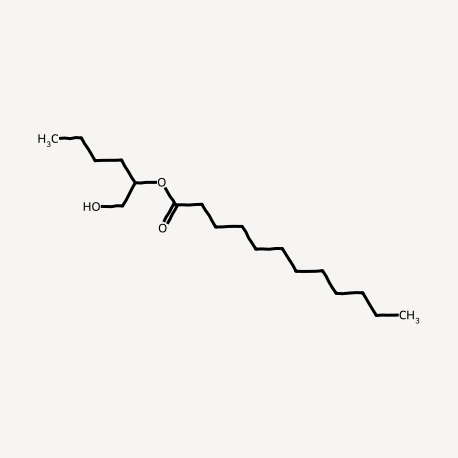 CCCCCCCCCCCC(=O)OC(CO)CCCC